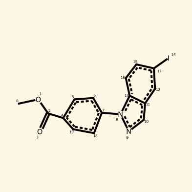 COC(=O)c1ccc(-n2ncc3cc(I)ccc32)cc1